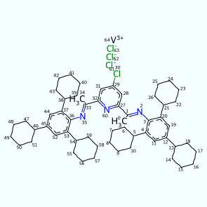 CC(=Nc1c(C2CCCCC2)cc(C2CCCCC2)cc1C1CCCCC1)c1cc(Cl)cc(C(C)=Nc2c(C3CCCCC3)cc(C3CCCCC3)cc2C2CCCCC2)n1.[Cl-].[Cl-].[Cl-].[V+3]